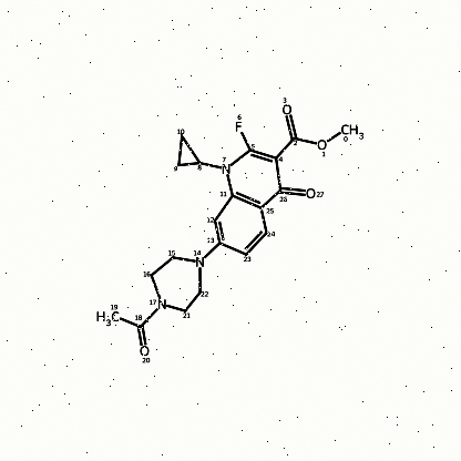 COC(=O)c1c(F)n(C2CC2)c2cc(N3CCN(C(C)=O)CC3)ccc2c1=O